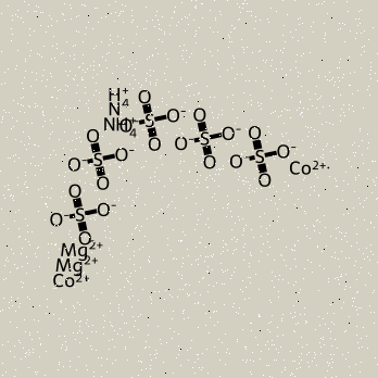 O=S(=O)([O-])[O-].O=S(=O)([O-])[O-].O=S(=O)([O-])[O-].O=S(=O)([O-])[O-].O=S(=O)([O-])[O-].[Co+2].[Co+2].[Mg+2].[Mg+2].[NH4+].[NH4+]